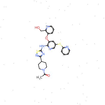 CC(=O)N1CCC(c2nsc(Nc3ncc(Sc4ccccn4)cc3Oc3cccnc3CO)n2)CC1